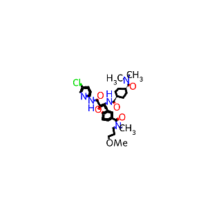 COCCCN(C)C(=O)c1ccc2oc(C(=O)Nc3ccc(Cl)cn3)c(NC(=O)[C@H]3CC[C@H](C(=O)N(C)C)CC3)c2c1